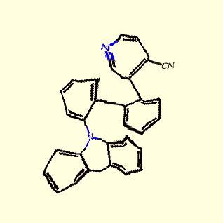 N#Cc1ccncc1-c1ccccc1-c1ccccc1-n1c2ccccc2c2ccccc21